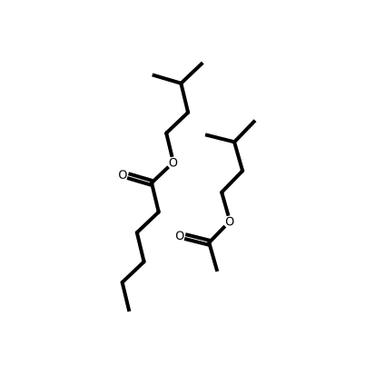 CC(=O)OCCC(C)C.CCCCCC(=O)OCCC(C)C